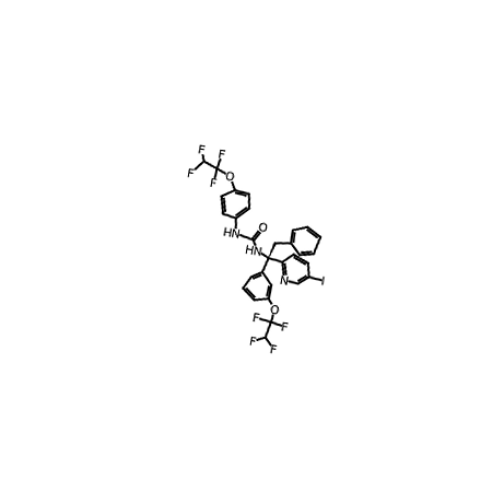 O=C(Nc1ccc(OC(F)(F)C(F)F)cc1)N[C@@](Cc1ccccc1)(c1cccc(OC(F)(F)C(F)F)c1)c1ccc(I)cn1